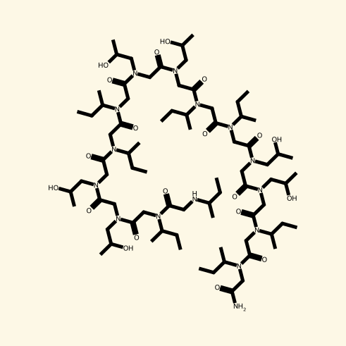 CCC(C)NCC(=O)N(CC(=O)N(CC(=O)N(CC(=O)N(CC(=O)N(CC(=O)N(CC(=O)N(CC(=O)N(CC(=O)N(CC(=O)N(CC(=O)N(CC(=O)N(CC(=O)N(CC(N)=O)C(C)CC)C(C)CC)CC(C)O)CC(C)O)C(C)CC)C(C)CC)CC(C)O)CC(C)O)C(C)CC)C(C)CC)CC(C)O)CC(C)O)C(C)CC